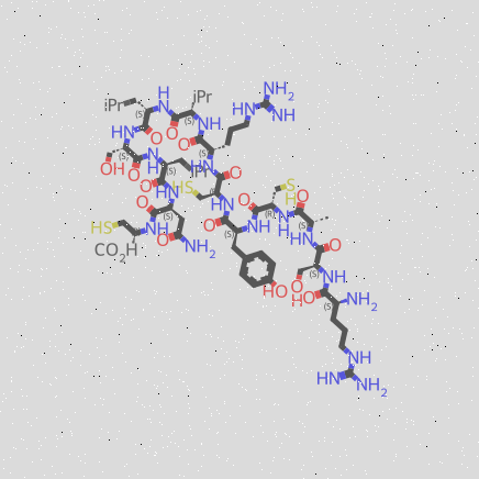 CC(C)C[C@H](NC(=O)[C@H](CO)NC(=O)[C@H](CC(C)C)NC(=O)[C@@H](NC(=O)[C@H](CCCNC(=N)N)NC(=O)[C@H](CS)NC(=O)[C@H](Cc1ccc(O)cc1)NC(=O)[C@H](CS)NC(=O)[C@H](C)NC(=O)[C@H](CO)NC(=O)[C@@H](N)CCCNC(=N)N)C(C)C)C(=O)N[C@@H](CC(N)=O)C(=O)N[C@@H](CS)C(=O)O